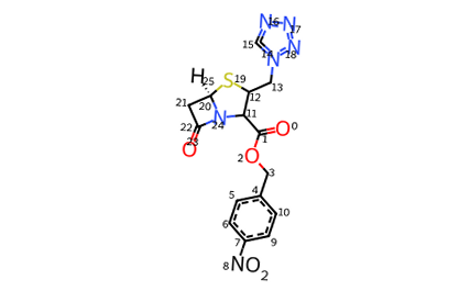 O=C(OCc1ccc([N+](=O)[O-])cc1)C1C(Cn2cnnn2)S[C@@H]2CC(=O)N12